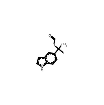 CC(I)(OC=O)c1ccc2[nH]ccc2c1